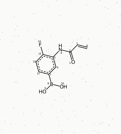 C=CC(=O)Nc1cc(B(O)O)ccc1F